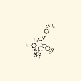 COC(=O)C1(Nc2cccc(Cl)c2)CCC2(CC1)C(C[C@@H](C)COCc1ccc(OC)cc1)=Cc1cc3c(cc12)OCO3